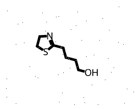 OCCCCC1=NCCS1